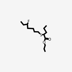 CCCOC(=O)C(CCC)SCCCCC(F)CC